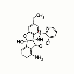 CCc1ccc2c(c1)OC1(O)C3=CCCC(N)=C3C(=O)C21NC(=O)c1ncccc1Cl